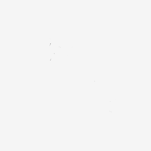 C[C@@H](O)[C@H]1C(=O)N2C(C(=O)O)=C(C[S+]([O-])c3ccc(COC(N)=O)cc3)S[C@H]12